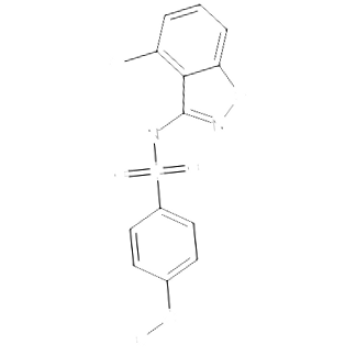 O=S(=O)(Nc1noc2cccc(Cl)c12)c1ccc(OC(F)(F)F)cc1